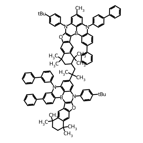 Cc1cc2c3c(c1)N(c1ccc(C(C)(C)C)cc1)c1oc4cc5c(cc4c1B3c1cc(-c3ccccc3)ccc1N2c1ccc(-c2ccccc2)cc1)C(C)(C)C(CC(C)(C)c1cc2c3c(c1)N(c1ccc(C(C)(C)C)cc1)c1oc4cc6c(cc4c1B3c1ccc(-c3ccccc3)cc1N2c1cccc(-c2ccccc2)c1)C(C)(C)CCC6(C)C)CC5(C)C